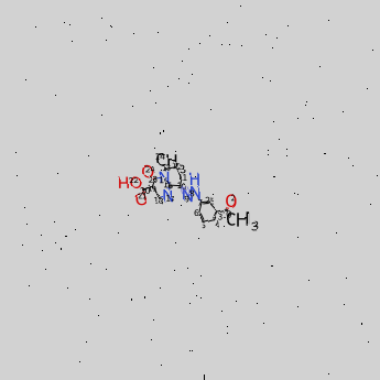 CC(=O)c1cccc(N/N=C2\CCC(C)n3c2ncc(C(=O)O)c3=O)c1